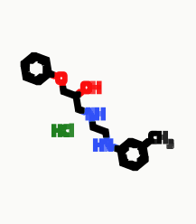 Cc1cccc(NCCNCC(O)COc2ccccc2)c1.Cl